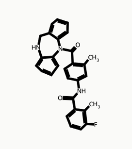 Cc1cc(NC(=O)c2cccc(F)c2C)ccc1C(=O)N1c2ccccc2CNc2ccccc21